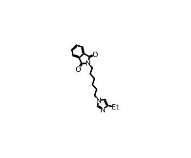 CCc1cn(CCCCCCN2C(=O)c3ccccc3C2=O)cn1